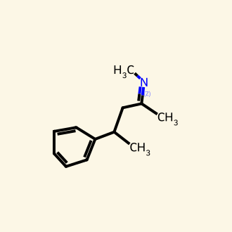 C/N=C(/C)CC(C)c1ccccc1